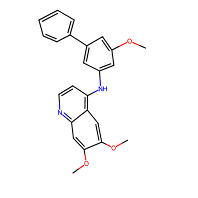 COc1cc(Nc2ccnc3cc(OC)c(OC)cc23)cc(-c2ccccc2)c1